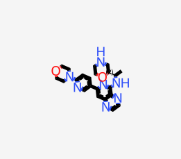 CC(Nc1nc(-c2ccc(N3CCOCC3)nc2)cc2nccnc12)[C@H]1CNCCO1